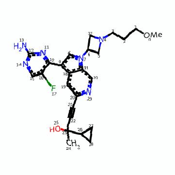 COCCCN1CC(n2cc(-c3nc(N)ncc3F)c3cc(C#CC(C)(O)C4CC4)ncc32)C1